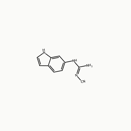 N#CN=C(N)Nc1ccc2cc[nH]c2c1